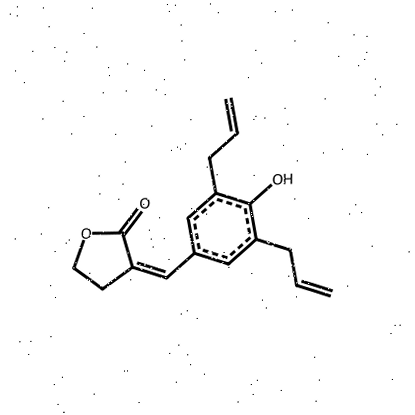 C=CCc1cc(C=C2CCOC2=O)cc(CC=C)c1O